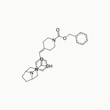 O=C(O)N1CC2CCC(C1)N2c1cccc(C=C2CCN(C(=O)OCc3ccccc3)CC2)c1